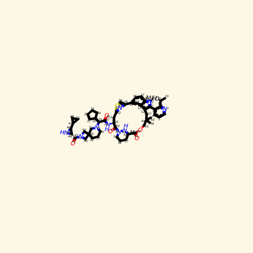 CCn1c(-c2cccnc2[C@H](C)OC)c2c3cc(ccc31)-c1csc(n1)C[C@H](NC(=O)C(C1CCCC1)N1CCCC3(CN(C(=O)[C@@H]4NC4C4CC4)C3)C1)C(=O)N1CCC[C@H](N1)C(=O)OCC(C)(C)C2